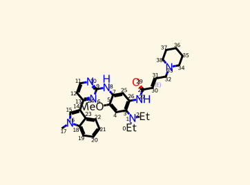 CCN(CC)c1cc(OC)c(Nc2nccc(-c3cn(C)c4ccccc34)n2)cc1NC(=O)/C=C/CN1CCCCC1